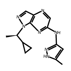 Cc1cc(Nc2cnc3cnn([C@H](C)C4CC4)c3n2)n[nH]1